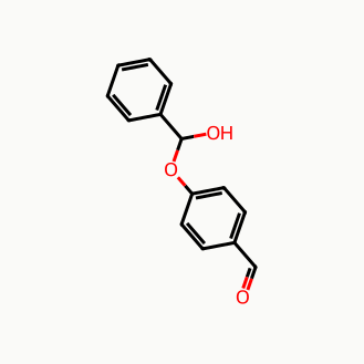 O=Cc1ccc(OC(O)c2ccccc2)cc1